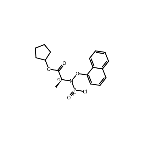 C[C@@H](C(=O)OC1CCCC1)N(Oc1cccc2ccccc12)[PH](=O)Cl